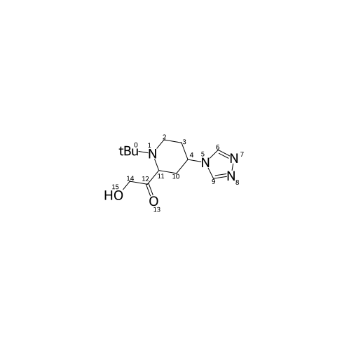 CC(C)(C)N1CCC(n2cnnc2)CC1C(=O)CO